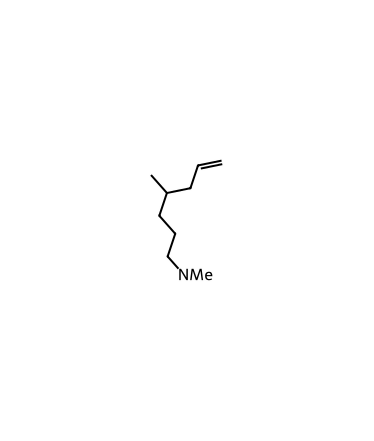 C=CCC(C)CCCNC